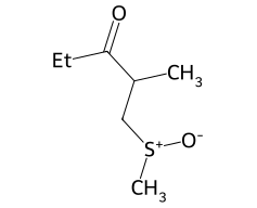 CCC(=O)C(C)C[S+](C)[O-]